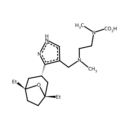 CC[C@]12CC[C@](CC)(C[C@H](c3n[nH]cc3CN(C)CCN(C)C(=O)O)C1)O2